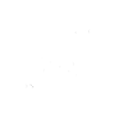 Nc1cccc(C(c2ccc(C(=O)O)cc2)(C(F)(F)F)C(F)(F)F)c1